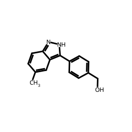 Cc1ccc2n[nH]c(-c3ccc(CO)cc3)c2c1